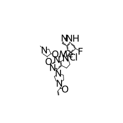 C=CC(=O)N1CCN(c2nc(O[C@@H]3CN(C)C[C@H]3OC)nc3c2CCCN3Cc2c(Cl)c(F)cc3[nH]ncc23)CC1